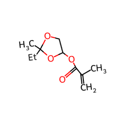 C=C(C)C(=O)OC1COC(C)(CC)O1